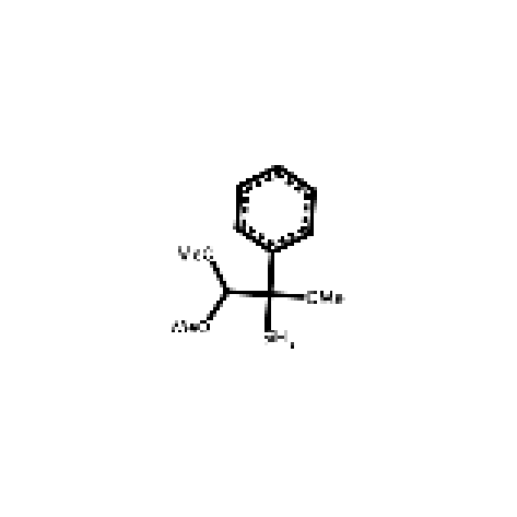 COC(OC)C([SiH3])(OC)c1ccccc1